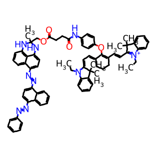 CCN1/C(=C/C=C2\CCCC(/C=C/C3=[N+](CC)c4ccccc4C3(C)C)=C2Oc2ccc(NC(=O)CCC(=O)OCC3(C)Nc4cccc5c(/N=N/c6ccc(/N=N/c7ccccc7)c7ccccc67)ccc(c45)N3)cc2)C(C)(C)c2ccccc21